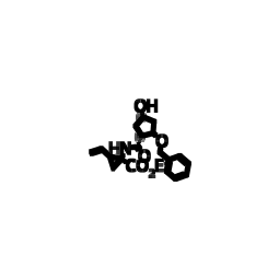 C=CC1C[C@]1(NC(=O)[C@@H]1C[C@@H](O)CC1OCc1ccccc1)C(=O)OCC